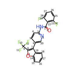 O=C(Nc1ccc(-c2c(C(F)(F)F)oc3ccccc23)cn1)c1c(F)cccc1F